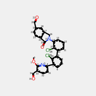 COc1nc(-c2cccc(-c3cccc(N4Cc5cc(C=O)ccc5C4=O)c3Cl)c2Cl)ccc1C=O